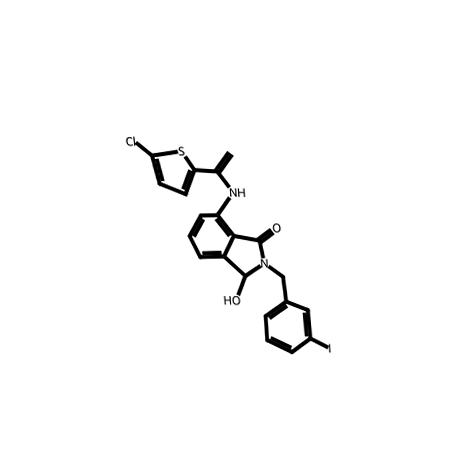 C=C(Nc1cccc2c1C(=O)N(Cc1cccc(I)c1)C2O)c1ccc(Cl)s1